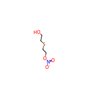 O=[N+]([O-])OCCSCCO